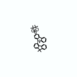 CC1(C)c2ccccc2-c2c(-n3c4ccccc4c4cc(B5OC(C)(C)C(C)(C)O5)ccc43)cccc21